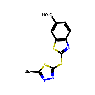 CC(C)(C)c1nnc(Sc2nc3ccc(C(=O)O)cc3s2)s1